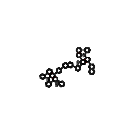 c1ccc(-c2ccccc2N(c2ccc(-c3ccc(-c4ccc5ccc(-c6cccc7c6sc6c(-c8ccccc8N(c8ccc(-c9ccc%10ccccc%10c9)cc8)c8ccccc8-c8ccccc8)cccc67)cc5c4)cc3)cc2)c2ccccc2-c2cccc3c2sc2ccccc23)cc1